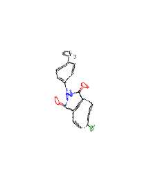 O=C1c2ccc(Br)cc2C(=O)N1c1ccc(C(F)(F)F)cc1